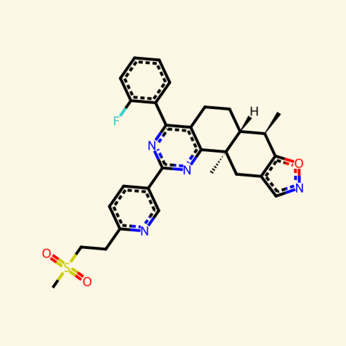 C[C@H]1c2oncc2C[C@@]2(C)c3nc(-c4ccc(CCS(C)(=O)=O)nc4)nc(-c4ccccc4F)c3CC[C@H]12